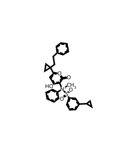 C[N+](c1ccccc1)(c1c(O)cc(C2(CCc3ccccc3)CC2)oc1=O)S(=O)(=O)c1cccc(C2CC2)c1